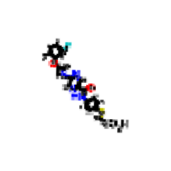 Cc1ccc(F)cc1OC1CN(c2cnc(C(=O)Nc3ccc(SCC(=O)O)cc3)cn2)C1